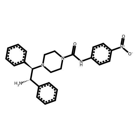 N[C@@H](c1ccccc1)[C@@H](c1ccccc1)N1CCN(C(=O)Nc2ccc([N+](=O)[O-])cc2)CC1